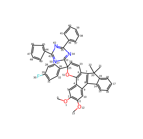 COc1cc2c3c(c4c(c2cc1OC)-c1ccccc1C4(C)C)C=CC(c1ccc(F)cc1)(c1nc(-c2ccccc2)nc(-c2ccccc2)n1)O3